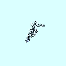 C=N/C=N\N(C)c1ccn([C@@H]2O[C@H](COC(=O)C3(COC)CCC3)[C@H]3OC(C)(C)O[C@H]32)c(=O)n1